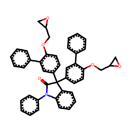 O=C1N(c2ccccc2)c2ccccc2C1(c1ccc(OCC2CO2)c(-c2ccccc2)c1)c1ccc(OCC2CO2)c(-c2ccccc2)c1